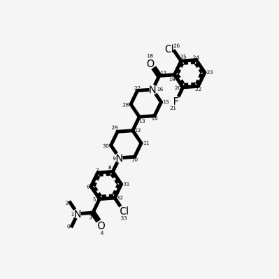 CN(C)C(=O)c1ccc(N2CCC(C3CCN(C(=O)c4c(F)cccc4Cl)CC3)CC2)cc1Cl